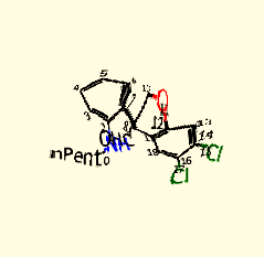 CCCCCNc1ccccc1C1(C=O)COc2cc(Cl)c(Cl)cc21